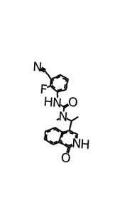 CC(c1c[nH]c(=O)c2ccccc12)N(C)C(=O)Nc1cccc(C#N)c1F